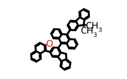 CC1(C)c2ccccc2-c2ccc(-c3c4ccccc4c(-c4c5c(cc6c4oc4ccc7ccccc7c46)-c4ccccc4C5)c4ccccc34)cc21